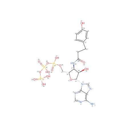 Nc1ncnc2c1ncn2[C@@H]1O[C@H](COP(=O)(O)OP(=O)(O)OP(=O)(O)O)[C@@H](NC(=O)CCc2ccc(O)cc2)[C@H]1O